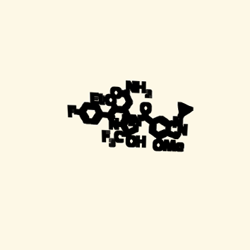 CCOc1c(CC(N)=O)cc([C@@](O)(CNC(=O)c2cc(OC)c3cnn(C4CC4)c3c2)C(F)(F)F)nc1-c1ccc(F)cc1